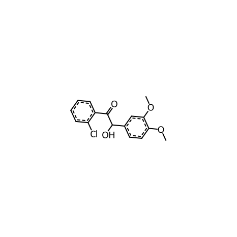 COc1ccc(C(O)C(=O)c2ccccc2Cl)cc1OC